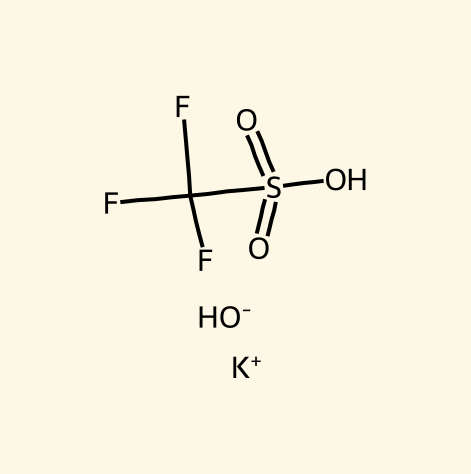 O=S(=O)(O)C(F)(F)F.[K+].[OH-]